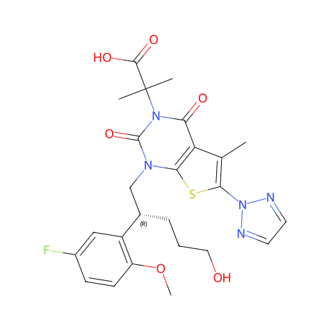 COc1ccc(F)cc1[C@@H](CCCO)Cn1c(=O)n(C(C)(C)C(=O)O)c(=O)c2c(C)c(-n3nccn3)sc21